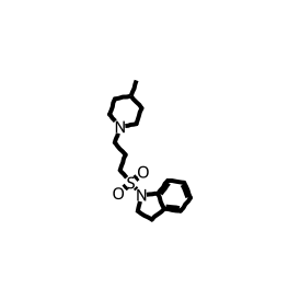 CC1CCN(CCCS(=O)(=O)N2CCc3ccccc32)CC1